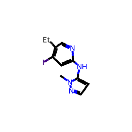 CCc1cnc(Nc2ccnn2C)cc1I